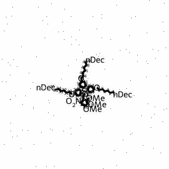 CCCCCCCCCCCCCCCCOc1ccc([Si](OCc2c([N+](=O)[O-])cc(OC)c(OC)c2OC)(c2ccc(OCCCCCCCCCCCCCCCC)cc2)c2ccc(OCCCCCCCCCCCCCCCC)cc2)cc1